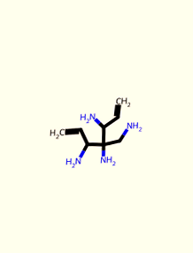 C=CC(N)C(N)(CN)C(N)C=C